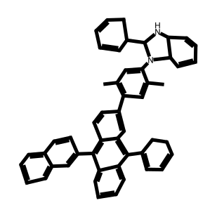 Cc1cc(N2C3C=CC=CC3NC2C2C=CC=CC2)c(C)cc1-c1ccc2c(-c3ccc4ccccc4c3)c3ccccc3c(C3=CC=CCC3)c2c1